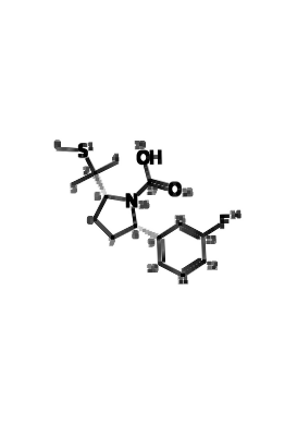 CSC(C)(C)[C@H]1CC[C@@H](c2cccc(F)c2)N1C(=O)O